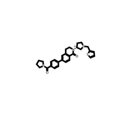 O=C(c1ccc(-c2ccc3c(c2)CCN([C@@H]2CCN(Cc4cccs4)C2)C3=O)cc1)N1CCCC1